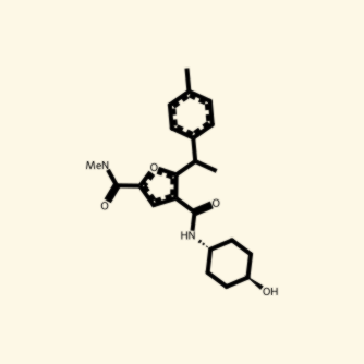 CNC(=O)c1cc(C(=O)N[C@H]2CC[C@H](O)CC2)c(C(C)c2ccc(C)cc2)o1